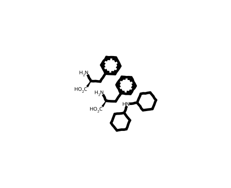 C1CCC(NC2CCCCC2)CC1.N[C@@H](Cc1ccccc1)C(=O)O.N[C@@H](Cc1ccccc1)C(=O)O